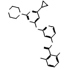 O=C(Nc1ccnc(Nc2cc(C3CC3)nc(N3CCOCC3)n2)c1)c1c(Cl)cccc1Cl